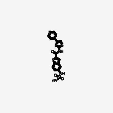 CCCS(=O)(=O)Nc1ccc2sc(C(=O)Nc3nc(-c4ccncc4)cs3)cc2c1